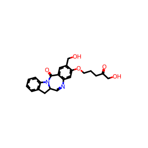 O=C(CO)CCCOc1cc2c(cc1CO)C(=O)N1c3ccccc3CC1C=N2